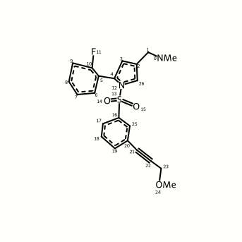 CNCc1cc(-c2ccccc2F)n(S(=O)(=O)c2cccc(C#CCOC)c2)c1